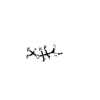 COC(=O)C(F)(F)C(F)(F)OC(F)(F)F